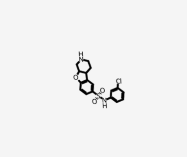 O=S(=O)(Nc1cccc(Cl)c1)c1ccc2c(c1)C1CCNCC1O2